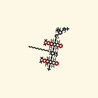 CCCCCCCCCCCCCCOc1c(C)c(C#Cc2c3c(c(C#CC(C)(C)C)c4c2[C@H]2c5ccccc5[C@H]4c4ccccc42)[C@@H]2c4ccc(C(C)(C)C)cc4[C@@H]3c3ccc(C(C)(C)C)cc32)c2nsnc2c1C#Cc1c2c(c(C#Cc3ccc(-c4ccc(-c5ccc(C(C)(C)C)s5)c5nsnc45)s3)c3c1[C@H]1c4ccccc4[C@H]3c3ccccc31)[C@H]1c3ccc(C(C)(C)C)cc3[C@H]2c2ccc(C(C)(C)C)cc21